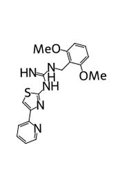 COc1cccc(OC)c1CNC(=N)Nc1nc(-c2ccccn2)cs1